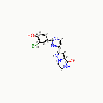 O=C1NCCn2nc(-c3ccnc(-c4ccc(O)c(Br)c4)n3)cc21